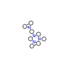 c1ccc(N2c3ccccc3N(c3ccc(-n4c5ccccc5c5ccccc54)cc3)c3ccccc3-n3c4ccccc4c4cccc2c43)cc1